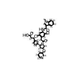 Cn1cc(C(=O)Nc2cc(Cl)c(CC(=O)N3C[C@@H](Oc4cccnc4)C[C@H]3c3ncc(CCC(=O)O)s3)cc2Cl)c2ccccc21